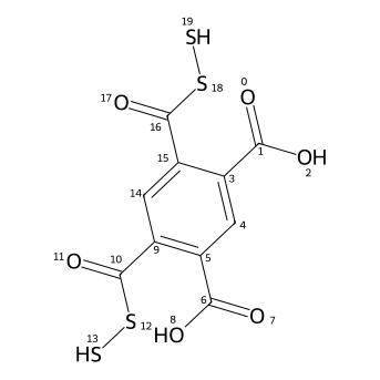 O=C(O)c1cc(C(=O)O)c(C(=O)SS)cc1C(=O)SS